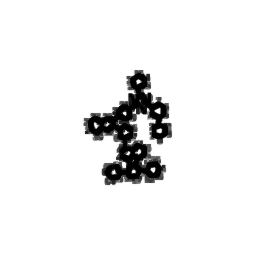 c1ccc(-c2cccc(-c3nc(-c4ccccc4)nc(-c4ccc(-c5cc6ccccc6cc5-c5cccc(-c6ccc7c8c(cccc68)-c6c(-c8ccccc8)ccc(-c8ccccc8)c6-7)c5)cc4)n3)c2)cc1